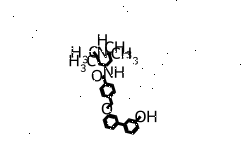 CC1(C)CC(NC(=O)c2ccc(COc3cccc(-c4cccc(O)c4)c3)cc2)CC(C)(C)N1